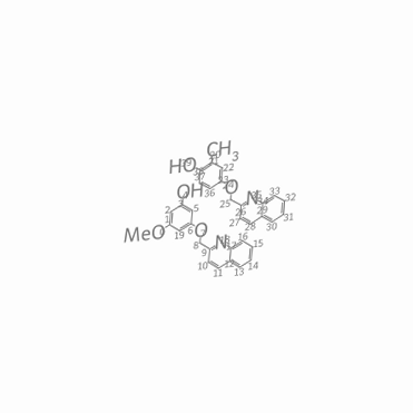 COc1cc(O)cc(OCc2ccc3ccccc3n2)c1.Cc1cc(OCc2ccc3ccccc3n2)ccc1O